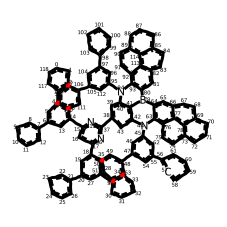 c1ccc(-c2cc(-c3ccccc3)cc(-c3cc(-c4cc(-c5ccccc5)cc(-c5ccccc5)c4)nc(-c4cc5c6c(c4)N(c4cc(-c7ccccc7)cc(-c7ccccc7)c4)c4c(cc7ccc8cccc9ccc4c7c89)B6c4cc6ccc7cccc8ccc(c4N5c4cc(-c5ccccc5)cc(-c5ccccc5)c4)c6c78)n3)c2)cc1